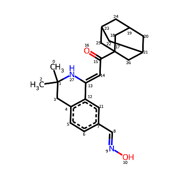 CC1(C)Cc2ccc(C=NO)cc2C(=CC(=O)C23CC4CC(CC(C4)C2)C3)N1